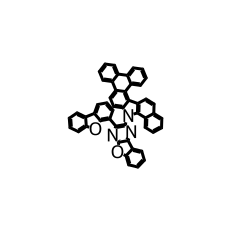 c1ccc2c(c1)ccc1c3c4c5ccccc5c5ccccc5c4ccc3n(-c3nc4c(nc3-c3cccc5c3oc3ccccc35)oc3ccccc34)c21